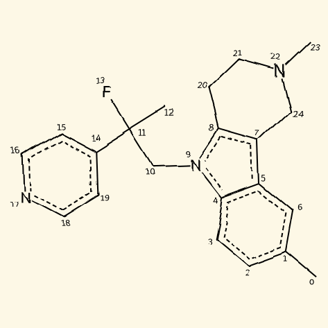 Cc1ccc2c(c1)c1c(n2CC(C)(F)c2ccncc2)CCN(C)C1